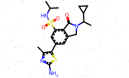 Cc1nc(N)sc1-c1cc2c(c(S(=O)(=O)NC(C)C)c1)C(=O)N(C(C)C1CC1)C2